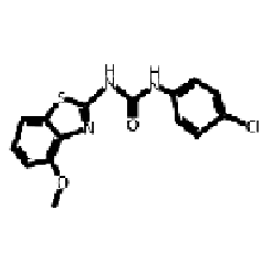 COc1cccc2sc(NC(=O)Nc3ccc(Cl)cc3)nc12